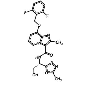 Cc1nnc([C@H](CO)NC(=O)c2c(C)nc3c(OCc4c(F)cccc4F)cccn23)o1